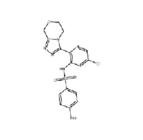 CC(C)(C)c1ccc(S(=O)(=O)Nc2cc(Cl)cnc2-c2nnc3n2CCOC3)cc1